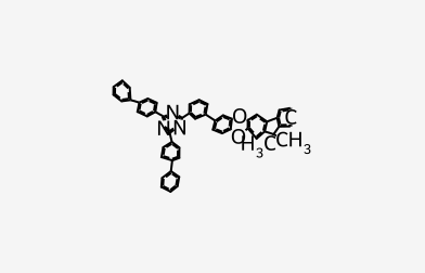 CC1(C)c2ccccc2-c2cc3c(cc21)Oc1ccc(-c2cccc(-c4nc(-c5ccc(-c6ccccc6)cc5)nc(-c5ccc(-c6ccccc6)cc5)n4)c2)cc1O3